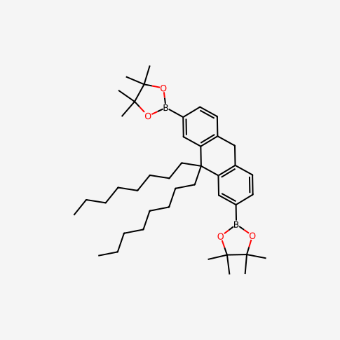 CCCCCCCCC1(CCCCCCCC)c2cc(B3OC(C)(C)C(C)(C)O3)ccc2Cc2ccc(B3OC(C)(C)C(C)(C)O3)cc21